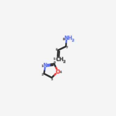 C1=NCCO1.C=CCN